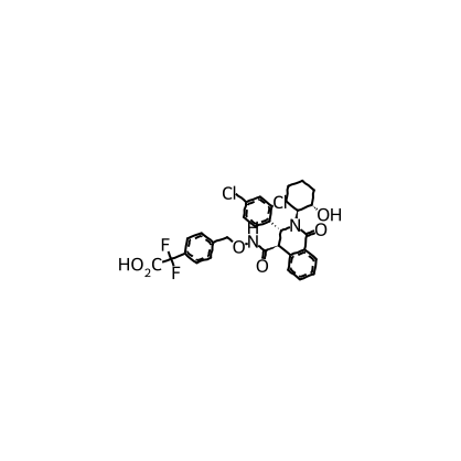 O=C(NOCc1ccc(C(F)(F)C(=O)O)cc1)[C@@H]1c2ccccc2C(=O)N([C@H]2CCCC[C@@H]2O)[C@H]1c1ccc(Cl)cc1Cl